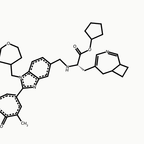 Cc1cc(-c2nc3cc(CN[C@@H](CC4=CN=CC5CCC5C4)C(=O)OC4CCCC4)ccc3n2CC2CCOCC2)cncc1=O